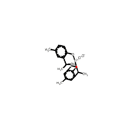 Cc1ccc([O][Ti+2][O]c2c3cc(C)cc2C(C)CS3)c(C(C)C)c1.[Cl-].[Cl-]